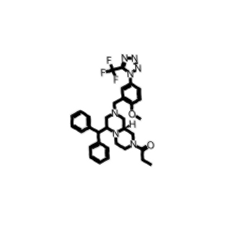 CCC(=O)N1CCN2C(C(c3ccccc3)c3ccccc3)CN(Cc3cc(-n4nnnc4C(F)(F)F)ccc3OC)C[C@@H]2C1